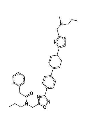 CCCN(C)Cc1nc(C2C=CC(c3ccc(-c4noc(CN(CCC)C(=O)Cc5ccccc5)n4)cc3)=CC2)cs1